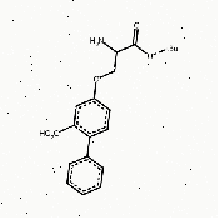 CC(C)(C)OC(=O)C(N)COc1ccc(-c2ccccc2)c(C(=O)O)c1